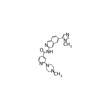 CN1CCN(c2cc(C(=O)Nc3cc4cc(-c5cncn5C)ccc4cn3)ccn2)CC1